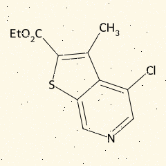 CCOC(=O)c1sc2cncc(Cl)c2c1C